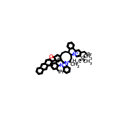 C=C1CC2C(CCc3cc4oc5cc6cc7ccccc7cc6cc5c4cc3-c3n(-c4c(C(C)C)cccc4C(C)C)c4ccccc4[n+]31)c1ccccc1-c1cc(CC(C)C)c([Si](C)(C)C)c[n+]12